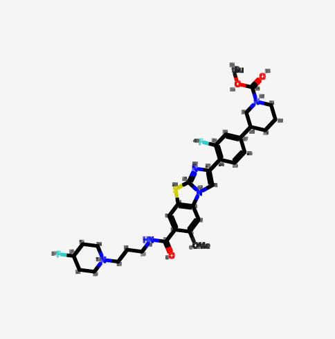 COc1cc2c(cc1C(=O)NCCCN1CCC(F)CC1)sc1nc(-c3ccc(C4CCCN(C(=O)OC(C)(C)C)C4)cc3F)cn12